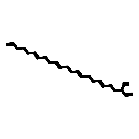 C=CCCCC=CCCC=CCCC=CCCC=CCCC(O)C=C